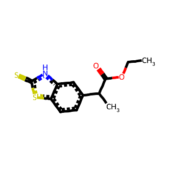 CCOC(=O)C(C)c1ccc2sc(=S)[nH]c2c1